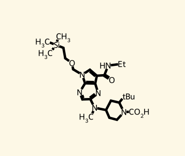 CCNC(=O)c1cn(COCC[Si](C)(C)C)c2ncc(N(C)C3CCN(C(=O)O)C(C(C)(C)C)C3)nc12